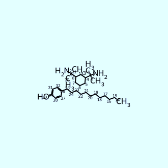 CC(C)(N)C1CCCC(C(C)(C)N)C1.CCCCCCCCCCCCc1ccc(O)cc1